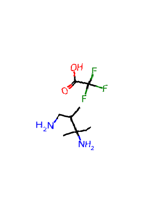 CC(CN)C(C)(C)N.O=C(O)C(F)(F)F